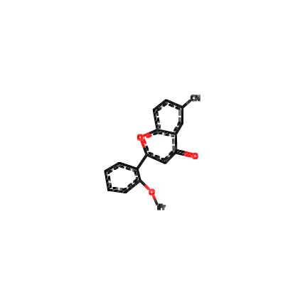 CC(C)Oc1ccccc1-c1cc(=O)c2cc(C#N)ccc2o1